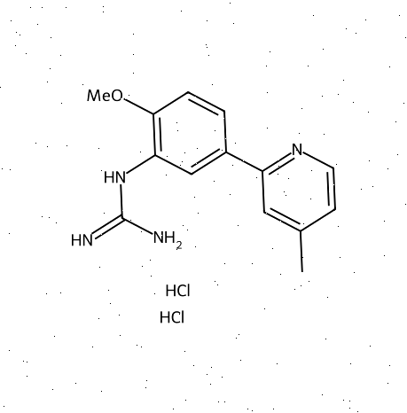 COc1ccc(-c2cc(C)ccn2)cc1NC(=N)N.Cl.Cl